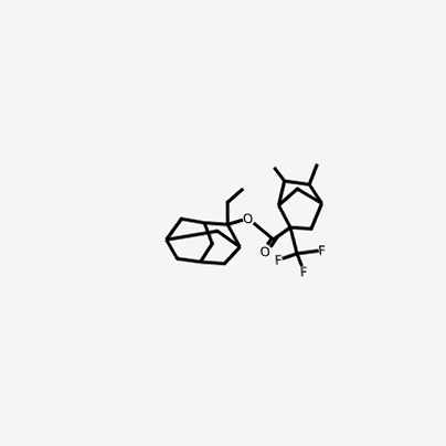 CCC1(OC(=O)C2(C(F)(F)F)CC3CC2C(C)C3C)C2CC3CC(C2)CC1C3